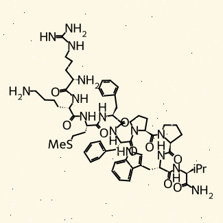 CSCC[C@H](NC(=O)[C@H](CCCCN)NC(=O)[C@@H](N)CCCNC(=N)N)C(=O)N[C@@H](Cc1ccccc1)C(=O)N[C@@H](Cc1ccccc1)C(=O)N1CCC[C@H]1C(=O)N1CCC[C@H]1C(=O)N[C@@H](Cc1c[nH]c2ccccc12)C(=O)N[C@H](C(N)=O)C(C)C